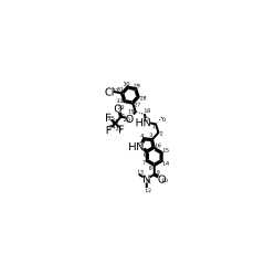 C[C@H](Cc1c[nH]c2cc(C(=O)N(C)C)ccc12)NC[C@H](OC(=O)C(F)(F)F)c1cccc(Cl)c1